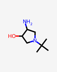 CC(C)(C)N1CC(N)C(O)C1